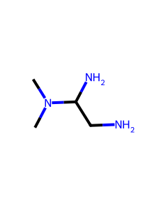 CN(C)C(N)CN